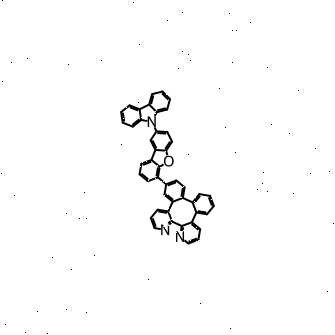 c1ccc2c(c1)-c1ccc(-c3cccc4c3oc3ccc(-n5c6ccccc6c6ccccc65)cc34)cc1-c1cccnc1-c1ncccc1-2